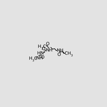 C/C=C/C(=O)NCCCC[C@H](NC(=O)CNC(=O)CNC)C(C)=O